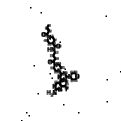 C/C=C/C(=O)N1CCC(C(=O)NCCCC(=O)N2CCN(c3nc(-c4cnc(N)nc4C(F)F)nc(N4CCOCC4)n3)CC2)CC1